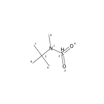 [CH2]N([SH](=O)=O)C(C)(C)C